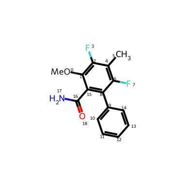 COc1c(F)c(C)c(F)c(-c2ccccc2)c1C(N)=O